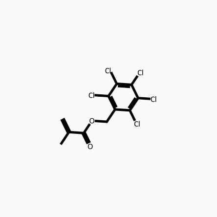 C=C(C)C(=O)OCc1c(Cl)c(Cl)c(Cl)c(Cl)c1Cl